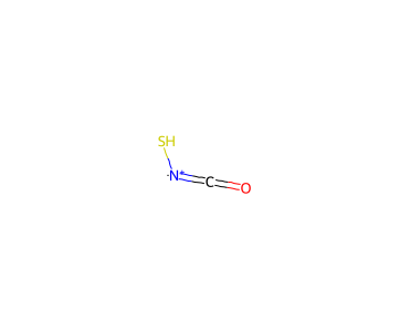 O=C=[N+]S